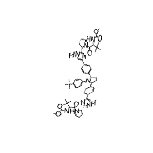 COC(=O)N[C@H](C(=O)N1CCCC1c1nc(-c2ccc(C3CCC(C4=CCC(c5c[nH]c([C@@H]6CCCN6C(=O)[C@@H](NC(=O)OC)C(C)(C)C)n5)C=C4)N3c3ccc(C(C)(C)C)cc3)cc2)c[nH]1)C(C)(C)C